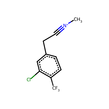 C[N+]#CCc1ccc(C(F)(F)F)c(Cl)c1